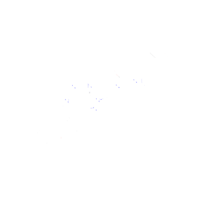 Nc1ncnc2c1c(-c1ccc(Oc3ccccc3)cc1)nn2[C@@H]1CCCN(C(=O)[C@@H](N)Cc2ccc(O)cc2)C1